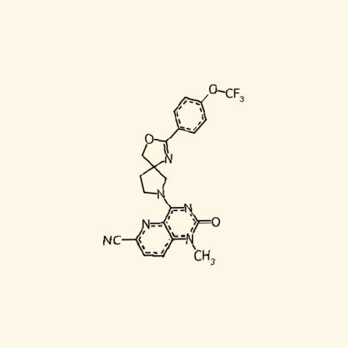 Cn1c(=O)nc(N2CCC3(COC(c4ccc(OC(F)(F)F)cc4)=N3)C2)c2nc(C#N)ccc21